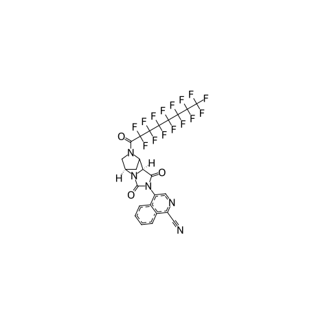 N#Cc1ncc(N2C(=O)[C@@H]3C4C[C@H](CN4C(=O)C(F)(F)C(F)(F)C(F)(F)C(F)(F)C(F)(F)C(F)(F)C(F)(F)F)N3C2=O)c2ccccc12